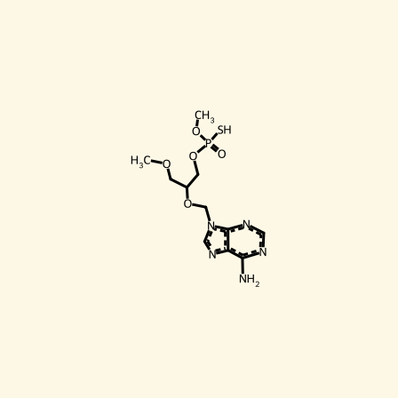 COCC(COP(=O)(S)OC)OCn1cnc2c(N)ncnc21